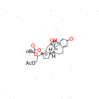 CCCCC(=O)O[C@]1(C(=O)COC(C)=O)CC[C@H]2[C@@H]3CCC4=CC(=O)C=C[C@]4(C)[C@H]3[C@@H](O)C[C@@]21C